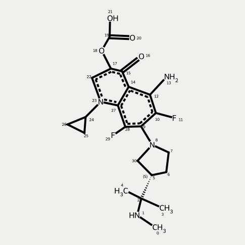 CNC(C)(C)[C@H]1CCN(c2c(F)c(N)c3c(=O)c(OC(=O)O)cn(C4CC4)c3c2F)C1